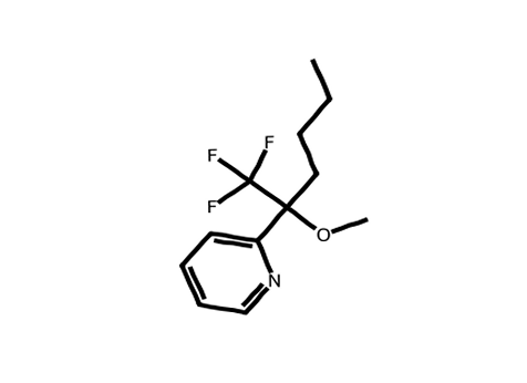 CCCCC(OC)(c1ccccn1)C(F)(F)F